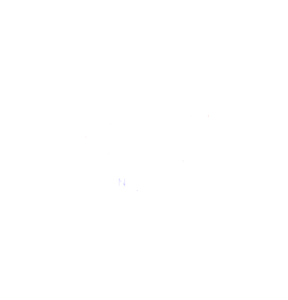 CCC1CO1.CCC1OC1N.O